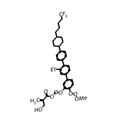 C=C(CO)C(=O)OOOc1cc(-c2ccc(-c3ccc(C4CCC(CCCCC(F)(F)F)CC4)cc3)c(CC)c2)ccc1OOOC